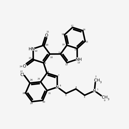 CN(C)CCCn1cc(C2=C(c3c[nH]c4ccccc34)C(=O)NC2=O)c2c(Cl)cccc21